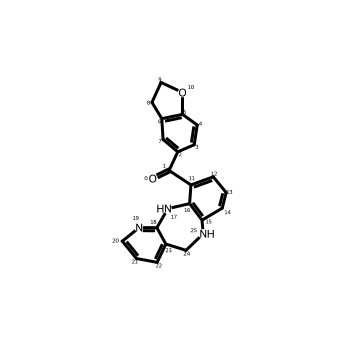 O=C(c1ccc2c(c1)CCO2)c1cccc2c1Nc1ncccc1CN2